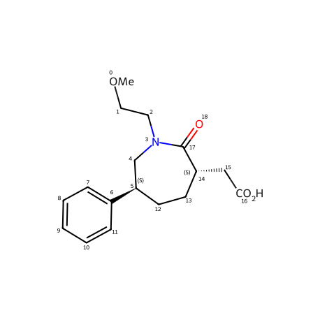 COCCN1C[C@H](c2ccccc2)CC[C@@H](CC(=O)O)C1=O